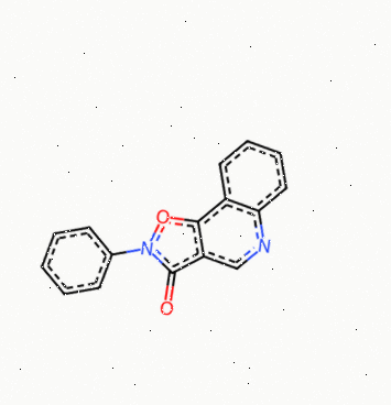 O=c1c2cnc3ccccc3c2on1-c1ccccc1